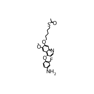 COc1cc2c(Oc3ccc(N)cc3F)ccnc2cc1OCCCCCSC(C)=O